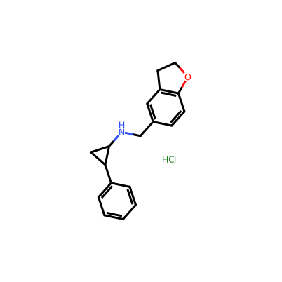 Cl.c1ccc(C2CC2NCc2ccc3c(c2)CCO3)cc1